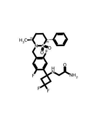 C[C@H]1CC[C@H](c2ccccc2)S(=O)(=O)N1Cc1cc(F)c(C2(NCC(N)=O)CC(F)(F)C2)cc1F